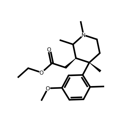 CCOC(=O)C[C@H]1C(C)N(C)CC[C@]1(C)c1cc(OC)ccc1C